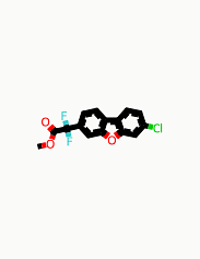 COC(=O)C(F)(F)c1ccc2c(c1)oc1cc(Cl)ccc12